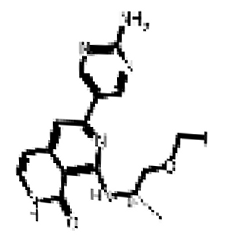 C[C@@H](COCI)Nc1nc(-c2cnc(N)nc2)cc2cc[nH]c(=O)c12